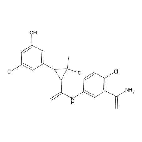 C=C(N)c1cc(NC(=C)C2C(c3cc(O)cc(Cl)c3)C2(C)Cl)ccc1Cl